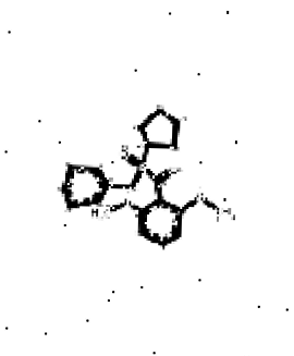 COc1cccc(OC)c1C(=O)P(=O)(Cc1ccccc1)C1CCCC1